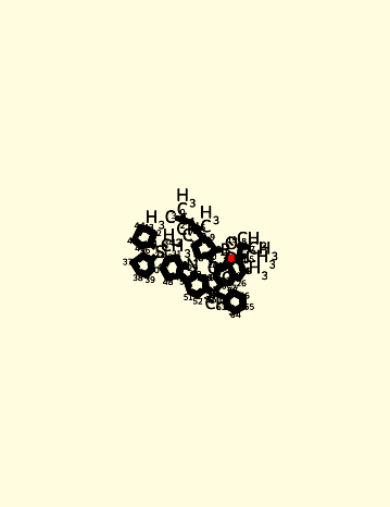 CC(C)(C)CC(C)(C)c1cc(B2OC(C)(C)C(C)(C)O2)c(OC2CCCCO2)c(-n2c3cc([Si](C)(c4ccccc4)c4ccccc4)ccc3c3ccc([Si](C)(c4ccccc4)c4ccccc4)cc32)c1